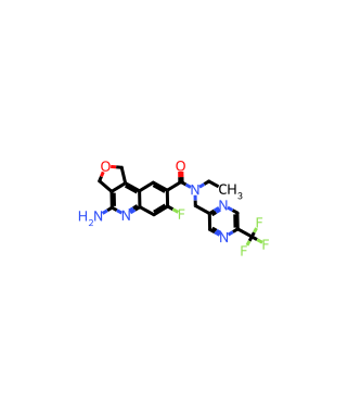 CCN(Cc1cnc(C(F)(F)F)cn1)C(=O)c1cc2c3c(c(N)nc2cc1F)COC3